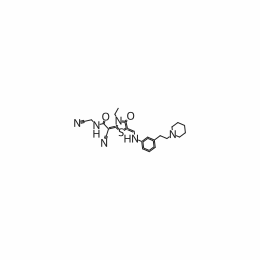 CCn1c(=C(C#N)C(=O)NCC#N)sc(=CNc2cccc(CCN3CCCCC3)c2)c1=O